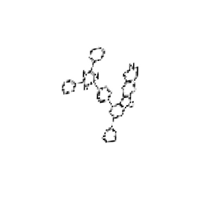 c1ccc(-c2cc(-c3ccc(-c4nc(-c5ccccc5)nc(-c5ccccc5)n4)cc3)c3c(c2)oc2cc4ccncc4cc23)cc1